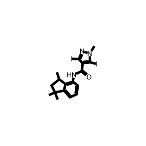 CC1CC(C)(C)c2cccc(NC(=O)c3c(I)nn(C)c3I)c21